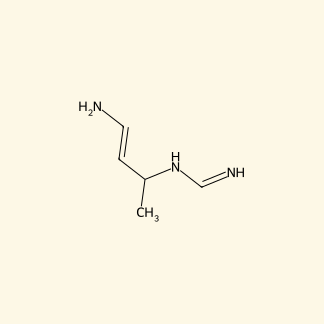 CC(/C=C/N)NC=N